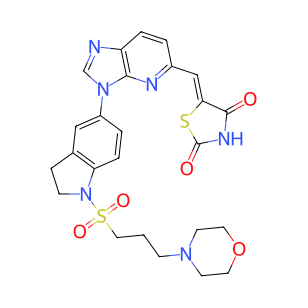 O=C1NC(=O)C(=Cc2ccc3ncn(-c4ccc5c(c4)CCN5S(=O)(=O)CCCN4CCOCC4)c3n2)S1